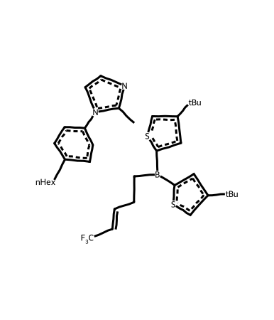 CC(C)(C)c1csc(B(CCC=CC(F)(F)F)c2cc(C(C)(C)C)cs2)c1.CCCCCCc1ccc(-n2ccnc2C)cc1